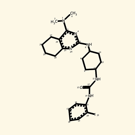 CN(C)c1nc(NC2CCC(NC(=O)Nc3ccccc3I)CC2)nc2c1CCCC2